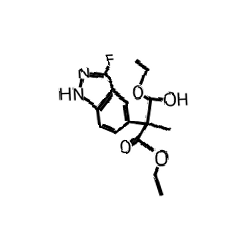 CCOC(=O)C(C)(c1ccc2[nH]nc(F)c2c1)C(O)OCC